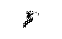 CCOC(=O)c1cnn(-c2cc(Cc3cccc(C(F)(F)F)c3)ccn2)c1OCCN.Cl